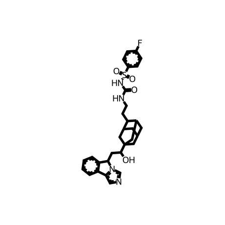 O=C(NCCC1C2CC3CC1CC(C(O)CC1c4ccccc4-c4cncn41)(C3)C2)NS(=O)(=O)c1ccc(F)cc1